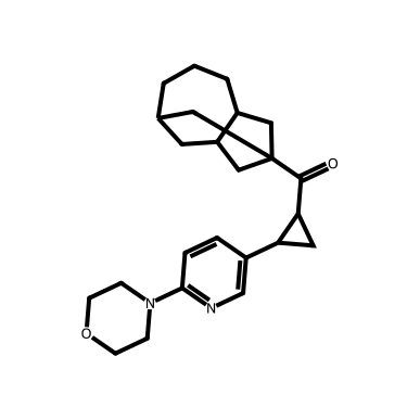 O=C(C1CC1c1ccc(N2CCOCC2)nc1)C12CC3CCCC(C1)C(C3)C2